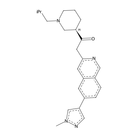 CC(C)CN1CCC[C@@H](C(=O)Cc2cc3cc(-c4cnn(C)c4)ccc3cn2)C1